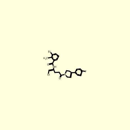 CC/C=C(\CCC(=O)N1CC=C(c2ccc(F)cc2)CC1)NC(=O)c1cccc(CC)c1C